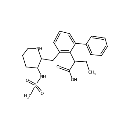 CCC(C(=O)O)c1c(CC2NCCCC2NS(C)(=O)=O)cccc1-c1ccccc1